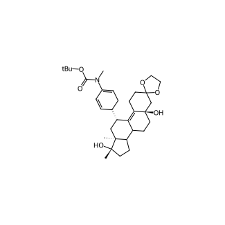 CN(C(=O)OC(C)(C)C)C1=CCC([C@H]2C[C@@]3(C)C(CC[C@]3(C)O)C3CC[C@@]4(O)CC5(CCC4=C32)OCCO5)C=C1